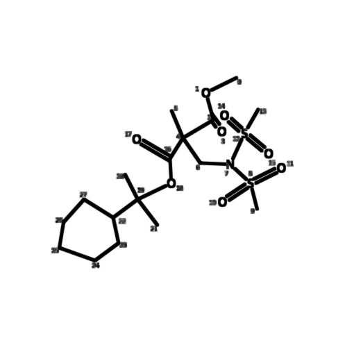 COC(=O)C(C)(CN(S(C)(=O)=O)S(C)(=O)=O)C(=O)OC(C)(C)C1CCCCC1